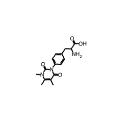 Cc1c(C)n(C)c(=O)n(-c2ccc(CC(N)C(=O)O)cc2)c1=O